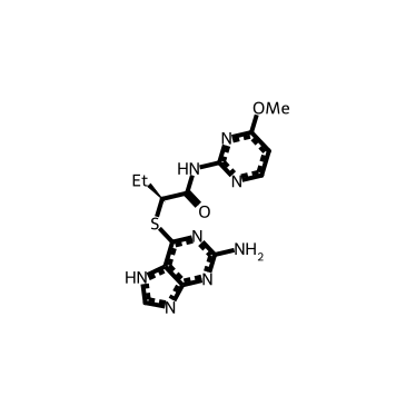 CC[C@H](Sc1nc(N)nc2nc[nH]c12)C(=O)Nc1nccc(OC)n1